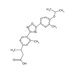 Cc1cc(-c2nc(-c3ccc(C(C)CC(=O)O)cc3C)no2)ccc1OC(C)C